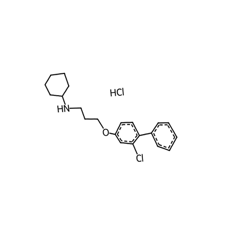 Cl.Clc1cc(OCCCNC2CCCCC2)ccc1-c1ccccc1